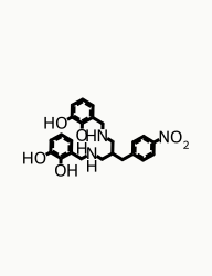 O=[N+]([O-])c1ccc(CC(CNCc2cccc(O)c2O)CNCc2cccc(O)c2O)cc1